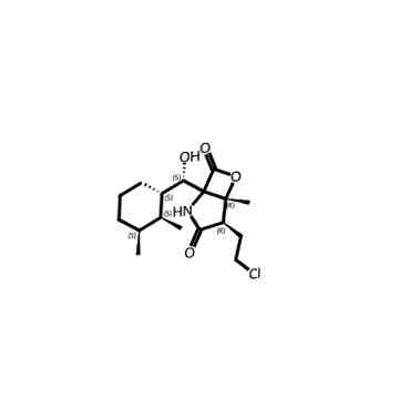 C[C@@H]1[C@@H]([C@H](O)C23NC(=O)[C@H](CCCl)[C@@]2(C)OC3=O)CCC[C@@H]1C